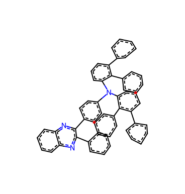 c1ccc(-c2cccc(N(c3ccc(-c4nc5ccccc5nc4-c4ccccc4)cc3)c3cccc(-c4ccccc4)c3-c3ccccc3)c2-c2ccccc2)cc1